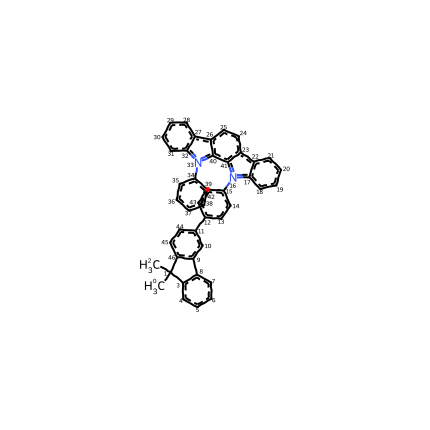 CC1(C)c2ccccc2-c2cc(-c3ccc(-n4c5ccccc5c5ccc6c7ccccc7n(-c7ccccc7)c6c54)cc3)ccc21